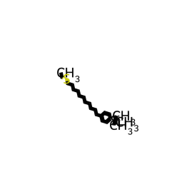 CCSCCCCCCCCCCCc1ccc([Si](C)(C)C)cc1